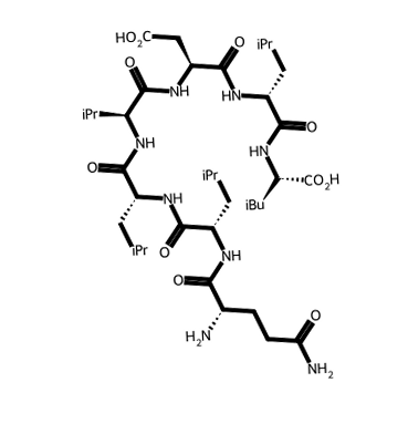 CC[C@H](C)[C@H](NC(=O)[C@@H](CC(C)C)NC(=O)[C@H](CC(=O)O)NC(=O)[C@@H](NC(=O)[C@@H](CC(C)C)NC(=O)[C@H](CC(C)C)NC(=O)[C@@H](N)CCC(N)=O)C(C)C)C(=O)O